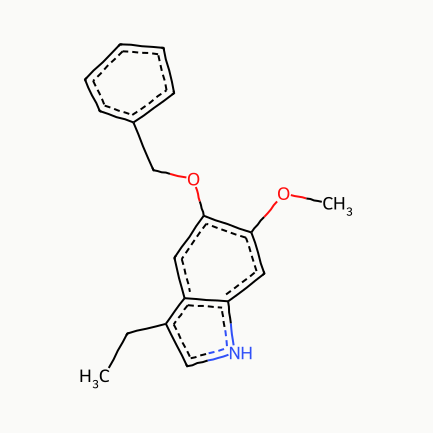 CCc1c[nH]c2cc(OC)c(OCc3ccccc3)cc12